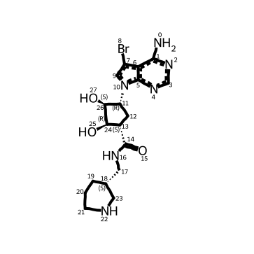 Nc1ncnc2c1c(Br)cn2[C@@H]1C[C@H](C(=O)NC[C@H]2CCCNC2)[C@@H](O)[C@H]1O